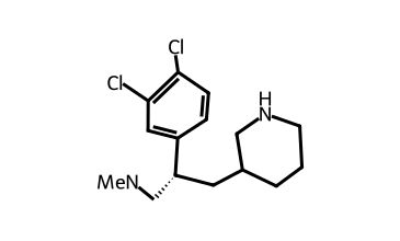 CNC[C@@H](CC1CCCNC1)c1ccc(Cl)c(Cl)c1